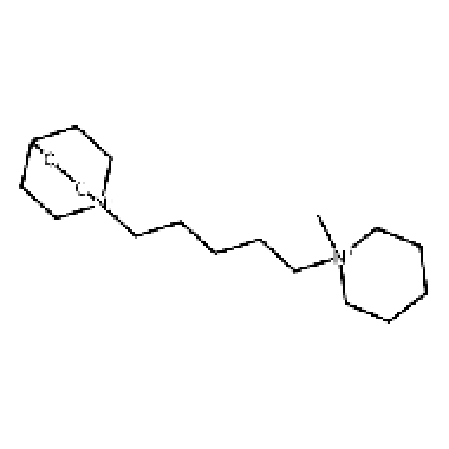 C[N+]1(CCCCC[N+]23CCC(CC2)CC3)CCCCC1